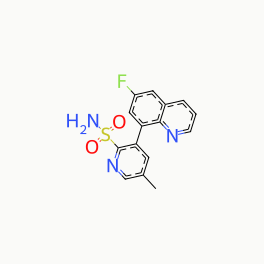 Cc1cnc(S(N)(=O)=O)c(-c2cc(F)cc3cccnc23)c1